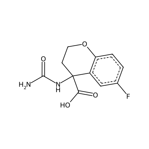 NC(=O)NC1(C(=O)O)CCOc2ccc(F)cc21